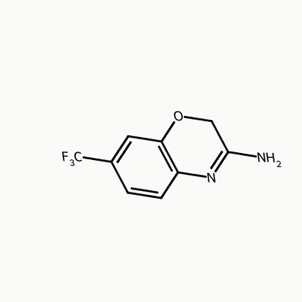 NC1=Nc2ccc(C(F)(F)F)cc2OC1